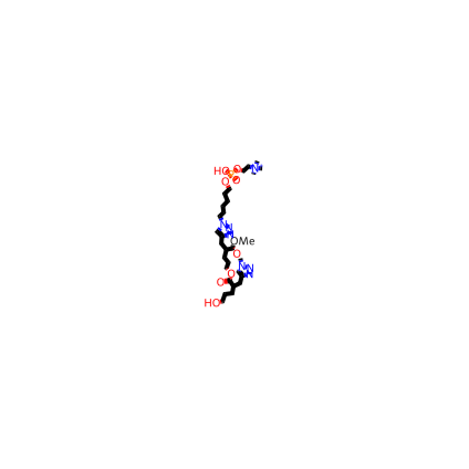 COC(=O)C(CCCOC(=O)C(CCCO)Cc1cn(C)nn1)Cc1cn(CCCCCCOP(=O)(O)OCC[N+](C)(C)C)nn1